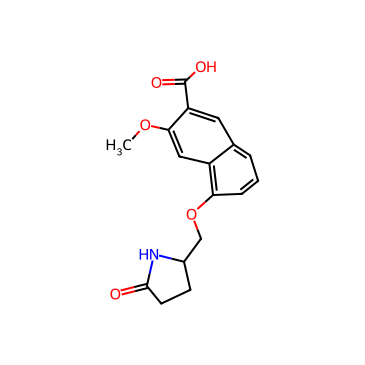 COc1cc2c(OCC3CCC(=O)N3)cccc2cc1C(=O)O